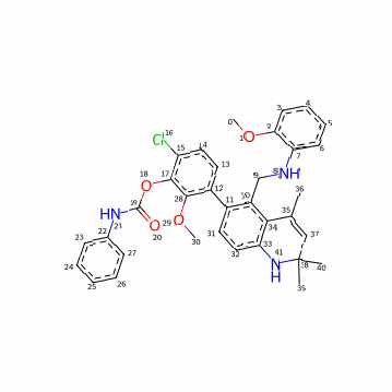 COc1ccccc1NCc1c(-c2ccc(Cl)c(OC(=O)Nc3ccccc3)c2OC)ccc2c1C(C)=CC(C)(C)N2